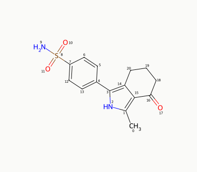 Cc1[nH]c(-c2ccc(S(N)(=O)=O)cc2)c2c1C(=O)CCC2